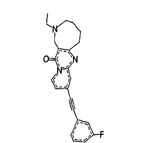 CCN1CCCCc2nc3cc(C#Cc4cccc(F)c4)ccn3c(=O)c2C1